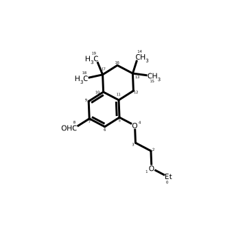 CCOCCOc1cc(C=O)cc2c1CC(C)(C)CC2(C)C